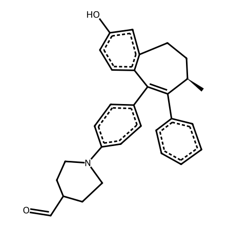 C[C@@H]1CCc2cc(O)ccc2C(c2ccc(N3CCC(C=O)CC3)cc2)=C1c1ccccc1